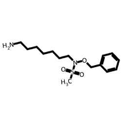 CS(=O)(=O)N(CCCCCCCN)OCc1ccccc1